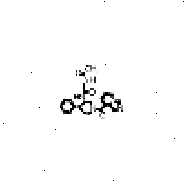 CC(=O)NCC(=O)N[C@@H]1CN(C(=O)c2cccn3cncc23)CC[C@H]1c1ccccc1